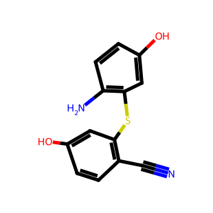 N#Cc1ccc(O)cc1Sc1cc(O)ccc1N